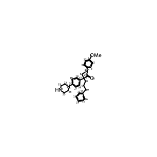 COc1ccc(N2CC(CCCc3ccccc3)(c3ccc(N4CCNCC4)cc3)C2=O)cc1